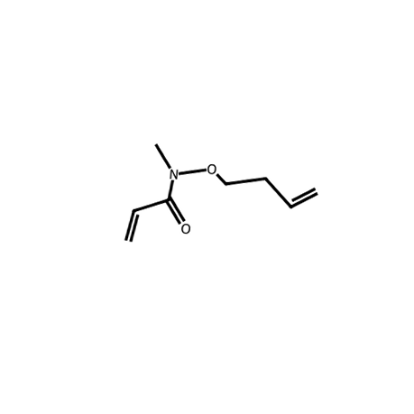 C=CCCON(C)C(=O)C=C